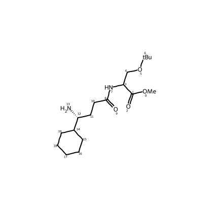 COC(=O)C(COC(C)(C)C)NC(=O)CC[C@@H](N)C1CCCCC1